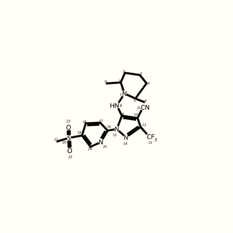 CC1CCCC(C)N1Nc1c(C#N)c(C(F)(F)F)nn1-c1ccc(S(C)(=O)=O)cn1